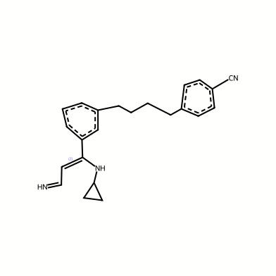 N#Cc1ccc(CCCCc2cccc(/C(=C/C=N)NC3CC3)c2)cc1